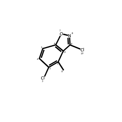 Cc1c(Cl)ccc2onc(Cl)c12